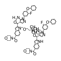 C[Si](C)(C)CCOCn1c(C(=O)c2cnn(-c3ccc(Oc4ccccc4)c(F)c3)c2N)cc2cc(C(=O)N3CCOCC3)ccc21.Nc1c(C(=O)c2cc3cc(C(=O)N4CCOCC4)ccc3[nH]2)cnn1-c1ccc(Oc2ccccc2)c(F)c1